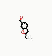 CC1Cc2ccc(C=O)cc2O1